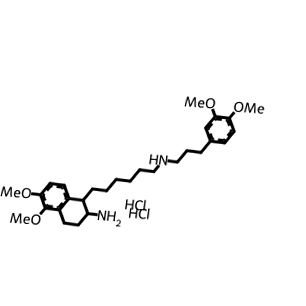 COc1ccc(CCCNCCCCCCC2c3ccc(OC)c(OC)c3CCC2N)cc1OC.Cl.Cl